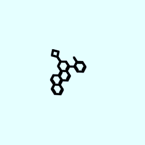 Cc1ccccc1C1=c2ccc3c(c2CC(C2CCC2)C1)CC=c1ccccc1=3